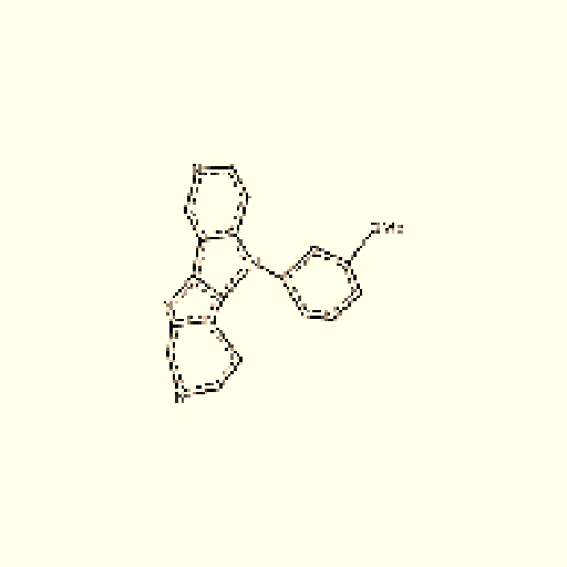 COc1cccc(-n2c3ccncc3c3nc4cnccn4c32)c1